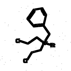 CC[N+](CCCl)(CCCl)Cc1ccccc1